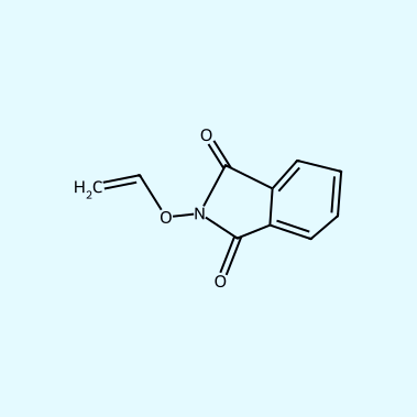 C=CON1C(=O)c2ccccc2C1=O